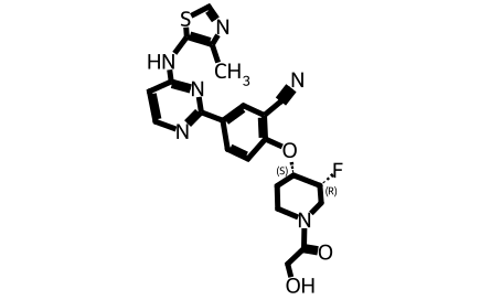 Cc1ncsc1Nc1ccnc(-c2ccc(O[C@H]3CCN(C(=O)CO)C[C@H]3F)c(C#N)c2)n1